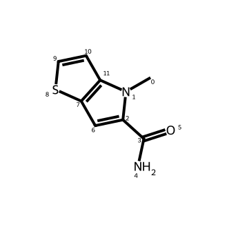 Cn1c(C(N)=O)cc2sccc21